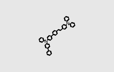 C(=C\c1ccc(N(c2ccccc2)c2ccccc2)cc1)/c1ccc(-c2ccc(N(c3ccccc3)c3ccc(-c4ccccc4)cc3)cc2)cc1